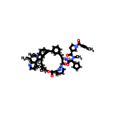 CC#CC(=O)N1CC[C@H](C(=O)N(C)[C@H](C(=O)N[C@H]2Cc3cccc(c3)-c3ccc4c(c3)c(c(-c3cccnc3[C@H](C)OC)n4C)CC(C)(C)COC(=O)[C@@H]3CCCN(N3)C2=O)C2CCCC2)C1